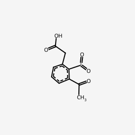 CC(=O)c1cccc(CC(=O)O)c1I(=O)=O